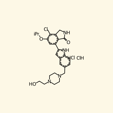 CC(C)Oc1cc(-c2cc3cc(CN4CCN(CCO)CC4)ccc3[nH]2)c2c(c1Cl)CNC2=O.Cl.Cl